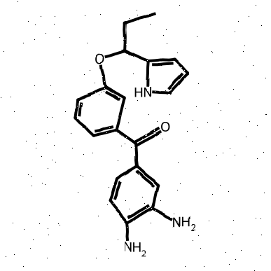 CCC(Oc1cccc(C(=O)c2ccc(N)c(N)c2)c1)c1ccc[nH]1